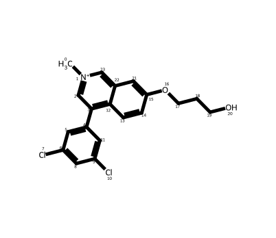 C[n+]1cc(-c2cc(Cl)cc(Cl)c2)c2ccc(OCCCO)cc2c1